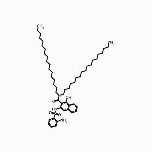 CCCCCCCCCCCCCCCCCCN(CCCCCCCCCCCCCCCCCC)C(=O)c1c(NS(=O)(=O)c2ccccc2N)cc2ccccc2c1O